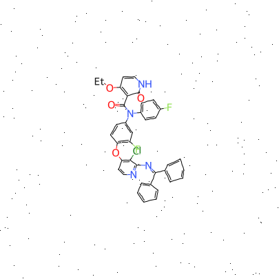 CCOc1cc[nH]c(=O)c1C(=O)N(c1ccc(F)cc1)c1ccc(Oc2ccnc(N=C(c3ccccc3)c3ccccc3)c2Cl)c(F)c1